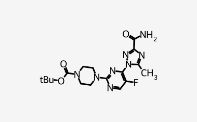 Cc1nc(C(N)=O)nn1-c1nc(N2CCN(C(=O)OC(C)(C)C)CC2)ncc1F